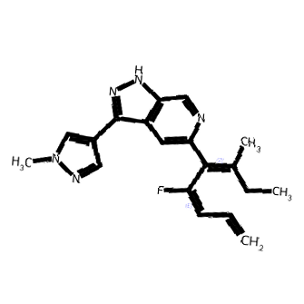 C=C/C=C(F)\C(=C(\C)CC)c1cc2c(-c3cnn(C)c3)n[nH]c2cn1